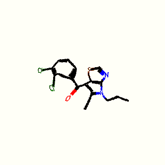 CCCn1c(C)c(C(=O)c2cccc(Cl)c2Cl)c2scnc21